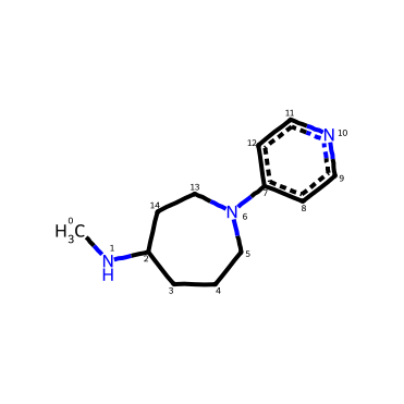 CNC1CCCN(c2ccncc2)CC1